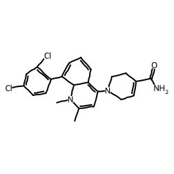 CC1=CC(N2CC=C(C(N)=O)CC2)=C2C=CC=C(c3ccc(Cl)cc3Cl)C2N1C